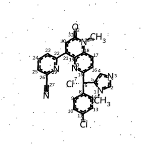 Cn1cncc1[C@@](Cl)(c1ccc(Cl)cc1)c1ccc2c(n1)c(-c1cccc(C#N)n1)cc(=O)n2C